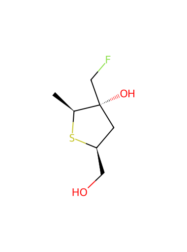 C[C@@H]1S[C@H](CO)C[C@]1(O)CF